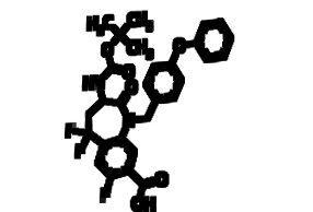 CC(C)(C)OC(=O)NC1CC(F)(F)c2cc(F)c(C(=O)O)cc2N(Cc2ccc(Oc3ccccc3)cc2)C1=O